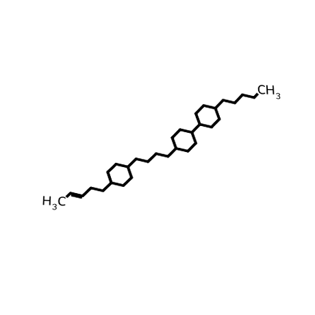 CC=CCCC1CCC(CCCCC2CCC(C3CCC(CCCCC)CC3)CC2)CC1